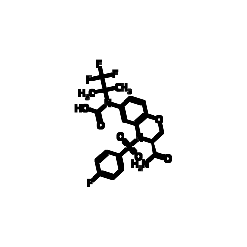 CC(C)(N(C(=O)O)c1ccc2c(c1)N(S(=O)(=O)c1ccc(F)cc1)[C@H](C(N)=O)CO2)C(F)(F)F